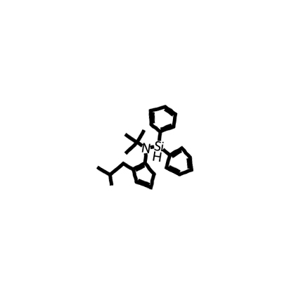 CC(C)CC1=C(N([SiH](c2ccccc2)c2ccccc2)C(C)(C)C)CC=C1